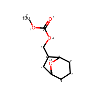 CC(C)(C)OC(=O)OCC1CC2CCCC1O2